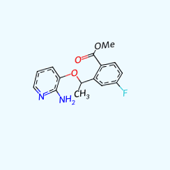 COC(=O)c1ccc(F)cc1C(C)Oc1cccnc1N